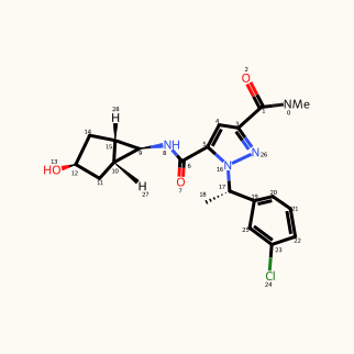 CNC(=O)c1cc(C(=O)N[C@H]2[C@@H]3C[C@@H](O)C[C@@H]32)n([C@@H](C)c2cccc(Cl)c2)n1